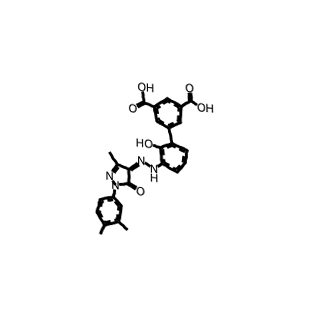 CC1=NN(c2ccc(C)c(C)c2)C(=O)C1=NNc1cccc(-c2cc(C(=O)O)cc(C(=O)O)c2)c1O